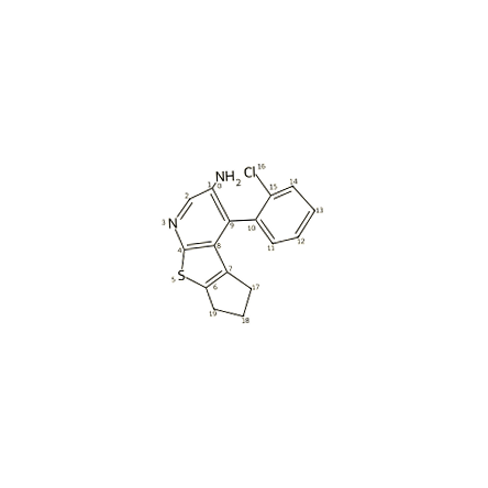 Nc1cnc2sc3c(c2c1-c1ccccc1Cl)CCC3